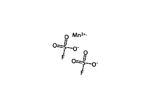 O=S(=O)([O-])F.O=S(=O)([O-])F.[Mn+2]